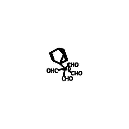 O=[CH][Mo]([CH]=O)([CH]=O)([CH]=O)[C]12C=CC(C=C1)C2